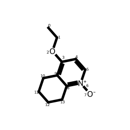 CCOc1cc[n+]([O-])c2c1CCCC2